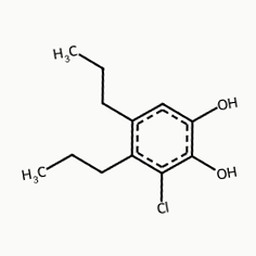 CCCc1cc(O)c(O)c(Cl)c1CCC